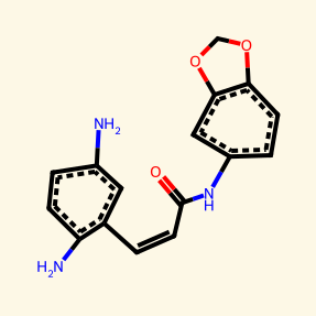 Nc1ccc(N)c(/C=C\C(=O)Nc2ccc3c(c2)OCO3)c1